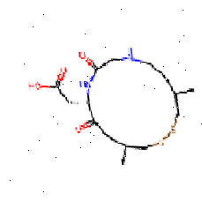 CC1CCNCC(=O)N[C@@H](CC(=O)O)C(=O)CC(C)CSSC1